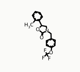 Cc1ccccc1C1CN(Cc2ccc(OC(F)(F)F)cc2)C(=O)O1